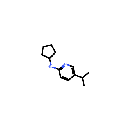 CC(C)c1ccc(NC2CCCC2)nc1